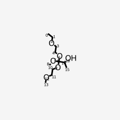 CCOCCOC(OC)(OCCOC)C(C)O